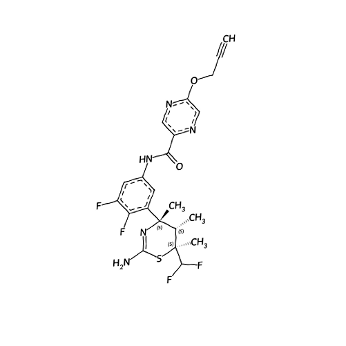 C#CCOc1cnc(C(=O)Nc2cc(F)c(F)c([C@@]3(C)N=C(N)S[C@](C)(C(F)F)[C@H]3C)c2)cn1